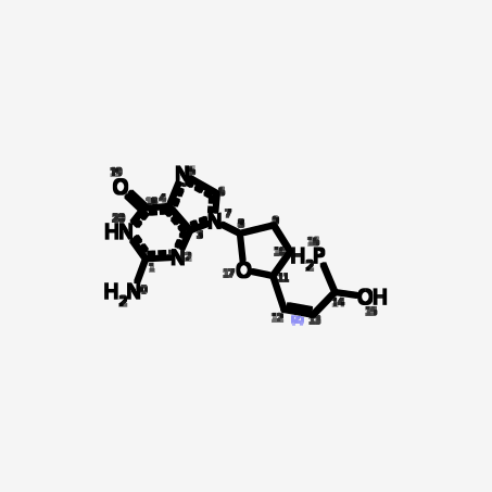 Nc1nc2c(ncn2C2CCC(/C=C\C(O)P)O2)c(=O)[nH]1